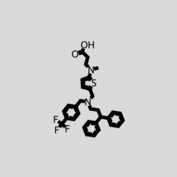 CN(CCC(=O)O)c1ccc(CN(CCC(c2ccccc2)c2ccccc2)Cc2ccc(C(F)(F)F)cc2)s1